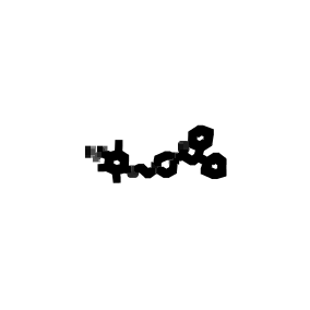 Cc1cc(OCCN2CCN(C(=O)CC(c3ccccc3)c3ccccc3)CC2)c(C)c(C)c1N